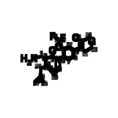 NC[C@H](C(=O)Nc1ccc(N2CCOCC2=O)cc1OC(F)F)N(CC1CC1)C1CC1